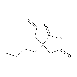 C=CCC1(CCCC)CC(=O)OC1=O